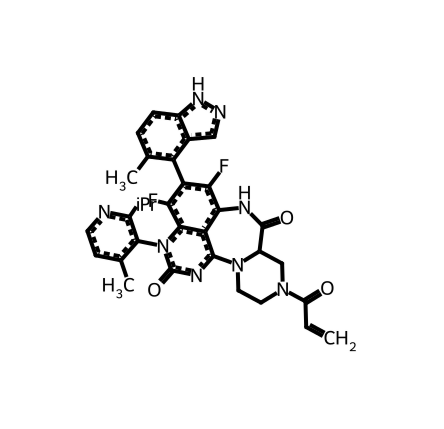 C=CC(=O)N1CCN2c3nc(=O)n(-c4c(C)ccnc4C(C)C)c4c(F)c(-c5c(C)ccc6[nH]ncc56)c(F)c(c34)NC(=O)C2C1